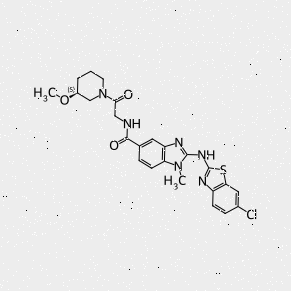 CO[C@H]1CCCN(C(=O)CNC(=O)c2ccc3c(c2)nc(Nc2nc4ccc(Cl)cc4s2)n3C)C1